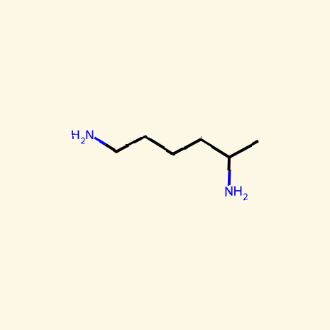 CC(N)[CH]CCCN